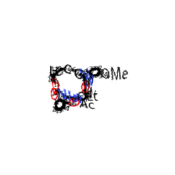 CC[C@@H]1[C@@H]2CN(C(=O)[C@H](C3(C)CCCCC3)NC(=O)O[C@]3(C)C[C@H]3CCCCCc3nc4ccc(OC)cc4nc3O2)[C@@H]1C(C)=O